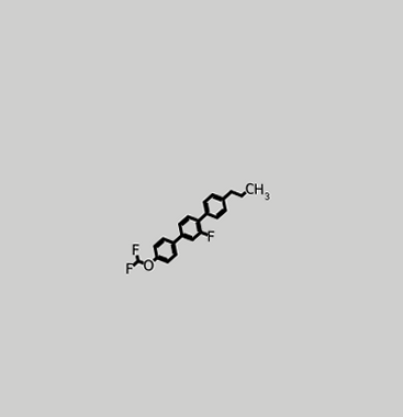 CCCc1ccc(-c2ccc(-c3ccc(OC(F)F)cc3)cc2F)cc1